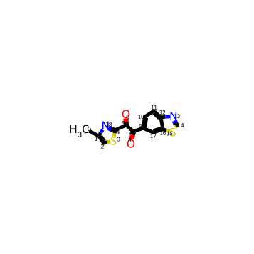 Cc1csc(C(=O)C(=O)c2ccc3ncsc3c2)n1